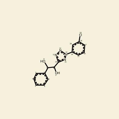 OC(c1ccccc1)C(O)c1nnn(-c2cccc(Cl)c2)n1